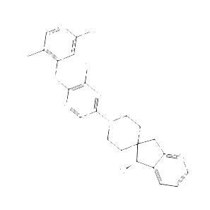 Nc1cc(Sc2ncc(N3CCC4(CC3)Cc3ncccc3[C@H]4N)nc2N)c(Cl)cn1